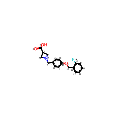 O=C(O)C1CN(Cc2ccc(OCc3ccccc3F)cc2)C1